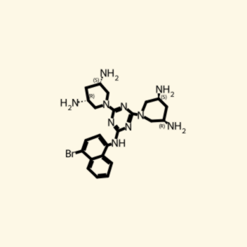 N[C@@H]1C[C@H](N)CN(c2nc(Nc3ccc(Br)c4ccccc34)nc(N3C[C@H](N)C[C@H](N)C3)n2)C1